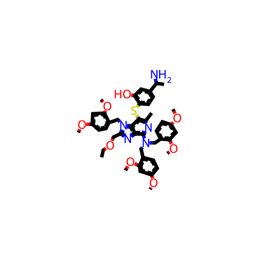 CCOCc1nc2c(N(Cc3ccc(OC)cc3OC)Cc3ccc(OC)cc3OC)nc(C)c(Sc3ccc(C(C)N)cc3O)c2n1Cc1ccc(OC)cc1OC